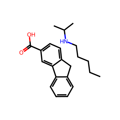 CCCCCNC(C)C.O=C(O)c1ccc2c(c1)-c1ccccc1C2